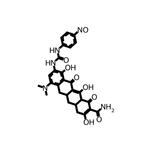 CN(C)c1cc(NC(=O)Nc2ccc(N=O)cc2)c(O)c2c1CC1CC3CC(O)=C(C(N)=O)C(=O)C3C(O)=C1C2=O